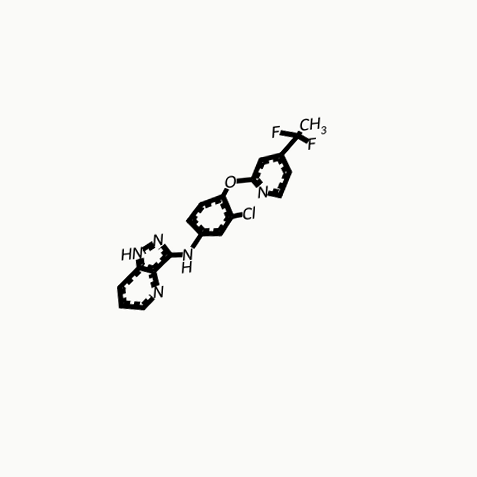 CC(F)(F)c1ccnc(Oc2ccc(Nc3n[nH]c4cccnc34)cc2Cl)c1